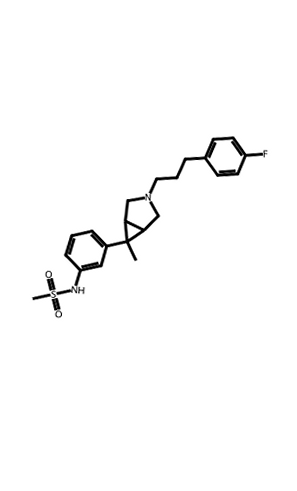 CC1(c2cccc(NS(C)(=O)=O)c2)C2CN(CCCc3ccc(F)cc3)CC21